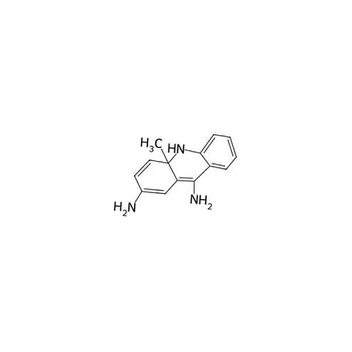 CC12C=CC(N)=CC1=C(N)c1ccccc1N2